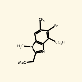 COCc1nc2c(C(=O)O)c(Br)c(C(F)(F)F)cc2n1C